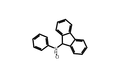 Cl[SiH](c1ccccc1)C1c2ccccc2-c2ccccc21